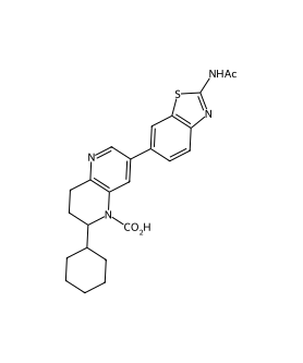 CC(=O)Nc1nc2ccc(-c3cnc4c(c3)N(C(=O)O)C(C3CCCCC3)CC4)cc2s1